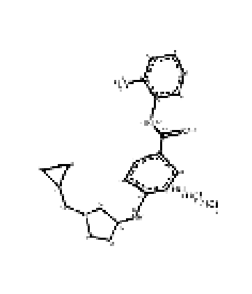 Cl.Cl.Cl.Nc1ccccc1NC(=O)c1ccc(NC2CCN(CC3CC3)C2)cc1